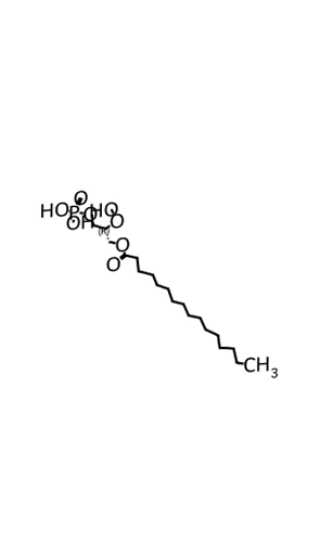 CCCCCCCCCCCCCCCC(=O)OC[C@H](COP(=O)(O)O)OO